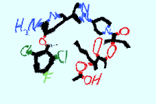 CCCC(C)(OC(C)O)C(=O)C(C)OC(C)(CC)C(=O)N1CCC(n2cc(-c3cnc(N)c(O[C@H](C)c4c(Cl)ccc(F)c4Cl)c3)cn2)CC1